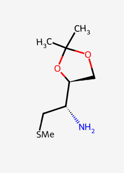 CSC[C@@H](N)[C@@H]1COC(C)(C)O1